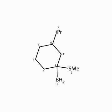 BC1(SC)CCCC(C(C)C)C1